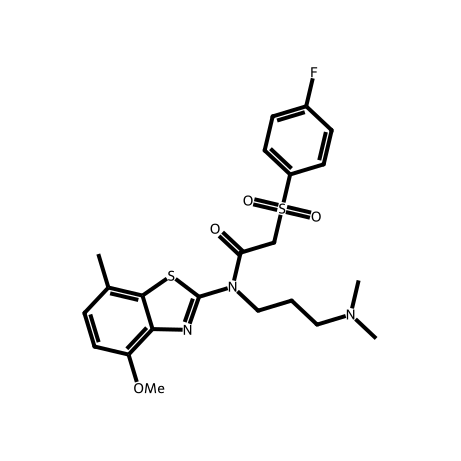 COc1ccc(C)c2sc(N(CCCN(C)C)C(=O)CS(=O)(=O)c3ccc(F)cc3)nc12